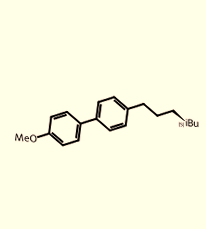 CC[C@H](C)CCCc1ccc(-c2ccc(OC)cc2)cc1